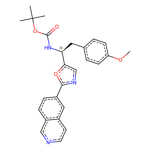 COc1ccc(C[C@H](NC(=O)OC(C)(C)C)c2cnc(-c3ccc4cnccc4c3)o2)cc1